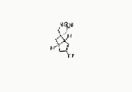 CCC1=C[C@@H]2[C@H](C1)C[C@@]2(CC#N)C[N+](=O)[O-]